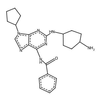 NC1CCC(Nc2nc(NC(=O)c3ccccc3)c3ncn(C4CCCC4)c3n2)CC1